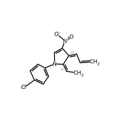 C=C/C=c1/c([N+](=O)[O-])cn(-c2ccc(Cl)cc2)/c1=C/C